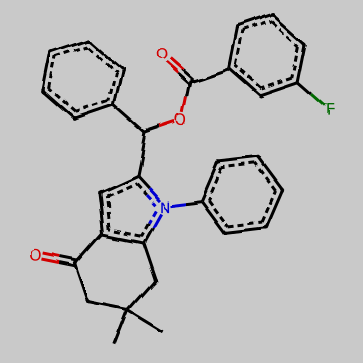 CC1(C)CC(=O)c2cc(C(OC(=O)c3cccc(F)c3)c3ccccc3)n(-c3ccccc3)c2C1